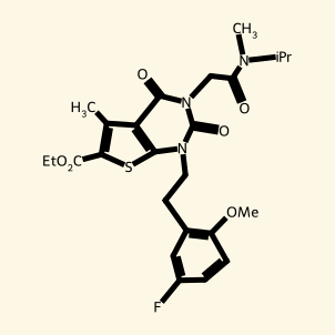 CCOC(=O)c1sc2c(c1C)c(=O)n(CC(=O)N(C)C(C)C)c(=O)n2CCc1cc(F)ccc1OC